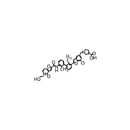 Cc1c(NC(=O)c2cc3c(=O)n(CCO)ccc3o2)cccc1-c1cccc(-c2cc3cc(CN4CC[C@@H](C(=O)O)C4)cc(Cl)c3o2)c1C